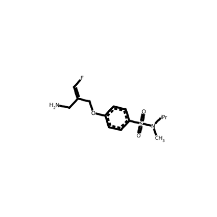 CC(C)N(C)S(=O)(=O)c1ccc(OC/C(=C\F)CN)cc1